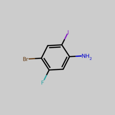 Nc1cc(F)c(Br)cc1I